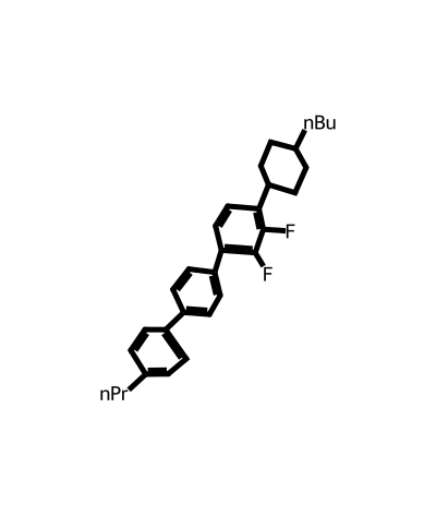 CCCCC1CCC(c2ccc(-c3ccc(-c4ccc(CCC)cc4)cc3)c(F)c2F)CC1